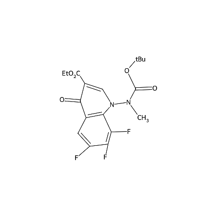 CCOC(=O)c1cn(N(C)C(=O)OC(C)(C)C)c2c(F)c(F)c(F)cc2c1=O